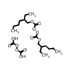 CCCCC(CC)COC(=O)OOC(=O)OCC(CC)CCCC.O=C(O)OOC(=O)O